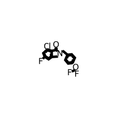 O=C1c2c(Cl)cc(F)cc2CN1Cc1ccc(OC(F)F)cc1